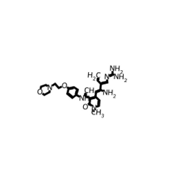 C=CC(=C\N=C(N)N)/C(N)=C/c1ccn(C)c(=O)c1C(=C)Nc1ccc(OCCN2CCOCC2)cc1